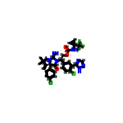 C=C(C(C)(C)C)[C@]1(c2ccc(Cl)cc2)NC(=N)N([C@H](COC(=O)NC2(C(F)(F)F)CC2)c2ccc(Cl)c(-c3ncn[nH]3)c2)C1=O